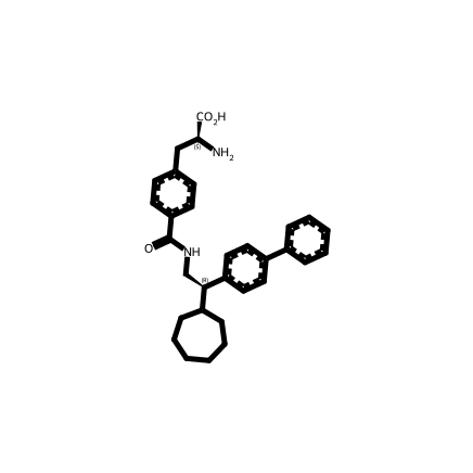 N[C@@H](Cc1ccc(C(=O)NC[C@@H](c2ccc(-c3ccccc3)cc2)C2CCCCCC2)cc1)C(=O)O